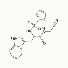 N#CCNC(=O)C(Cc1c[nH]c2ccccc12)NS(=O)(=O)c1cccs1